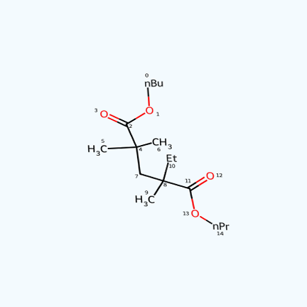 CCCCOC(=O)C(C)(C)CC(C)(CC)C(=O)OCCC